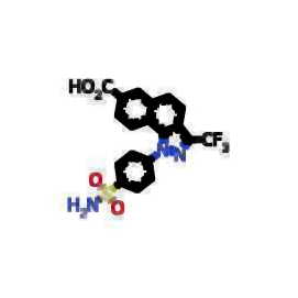 NS(=O)(=O)c1ccc(-n2nc(C(F)(F)F)c3ccc4cc(C(=O)O)ccc4c32)cc1